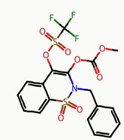 COC(=O)OC1=C(OS(=O)(=O)C(F)(F)F)c2ccccc2S(=O)(=O)N1Cc1ccccc1